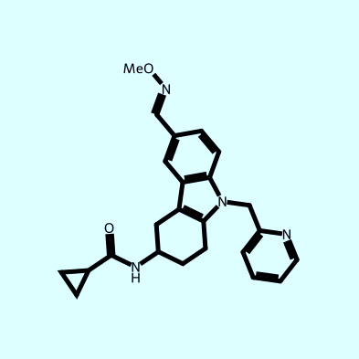 CON=Cc1ccc2c(c1)c1c(n2Cc2ccccn2)CCC(NC(=O)C2CC2)C1